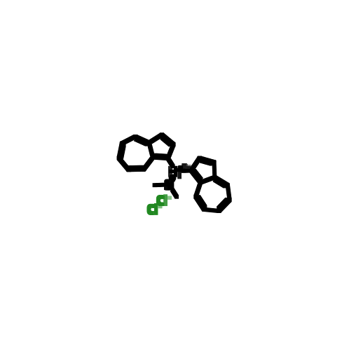 C[Si](C)=[Hf+2]([c]1ccc2cccccc1-2)[c]1ccc2cccccc1-2.[Cl-].[Cl-]